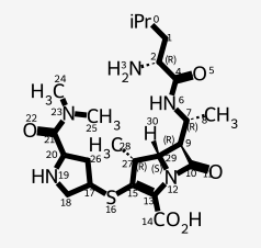 CC(C)C[C@@H](N)C(=O)N[C@H](C)[C@H]1C(=O)N2C(C(=O)O)=C(SC3CNC(C(=O)N(C)C)C3)[C@H](C)[C@H]12